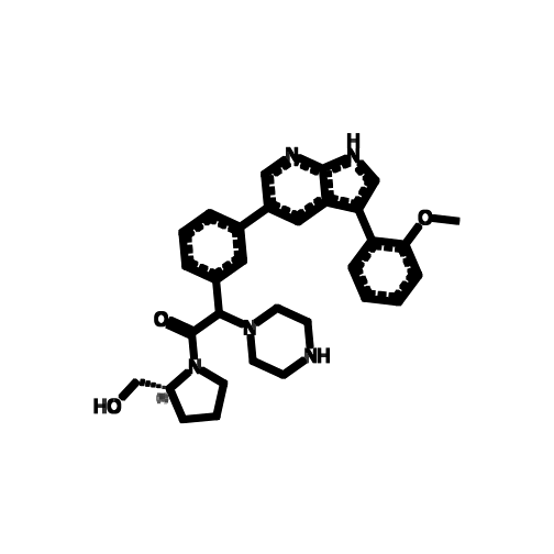 COc1ccccc1-c1c[nH]c2ncc(-c3cccc(C(C(=O)N4CCC[C@@H]4CO)N4CCNCC4)c3)cc12